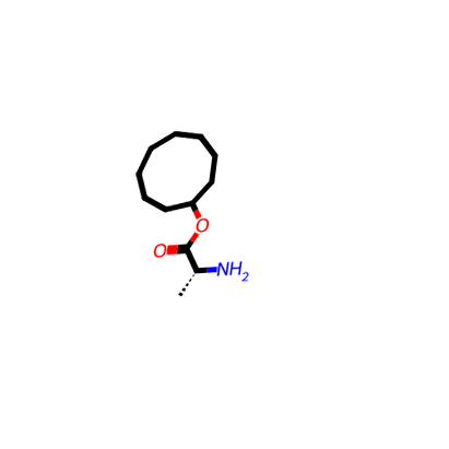 C[C@@H](N)C(=O)OC1CCCCCCCC1